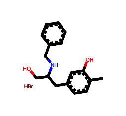 Br.Cc1ccc(CC(CO)NCc2ccccc2)cc1O